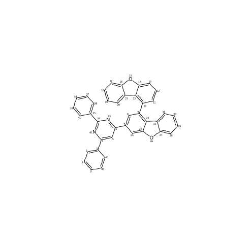 c1ccc(-c2cc(-c3cc(-c4cccc5oc6ccccc6c45)c4c(c3)oc3ccccc34)nc(-c3ccccc3)n2)cc1